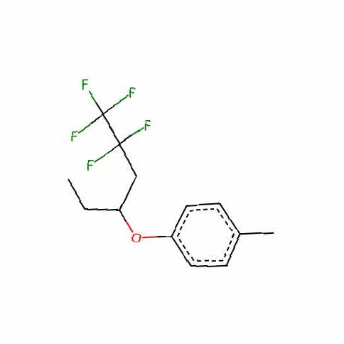 CCC(CC(F)(F)C(F)(F)F)Oc1ccc(C)cc1